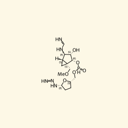 COC[C@]12C[C@@H]1[C@@H](NC=N)[C@H](O)[C@@H]2O[PH](=O)OC[C@@H]1CC[C@H](NN=N)O1